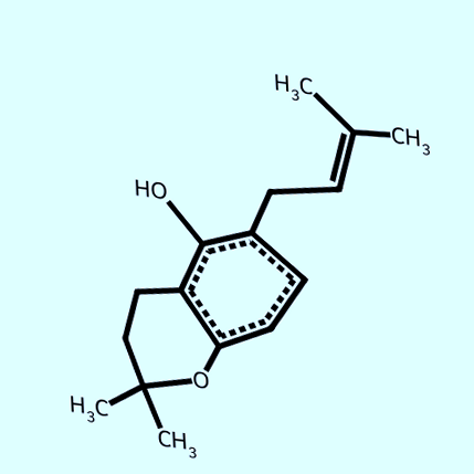 CC(C)=CCc1ccc2c(c1O)CCC(C)(C)O2